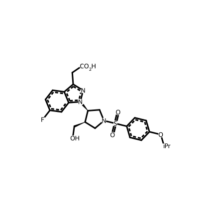 CC(C)Oc1ccc(S(=O)(=O)N2C[C@@H](CO)[C@@H](n3nc(CC(=O)O)c4ccc(F)cc43)C2)cc1